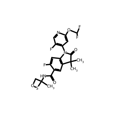 CC1(NC(=O)c2cc3c(cc2F)N(c2cc(OC(F)F)ncc2F)C(=O)C3(C)C)COS1